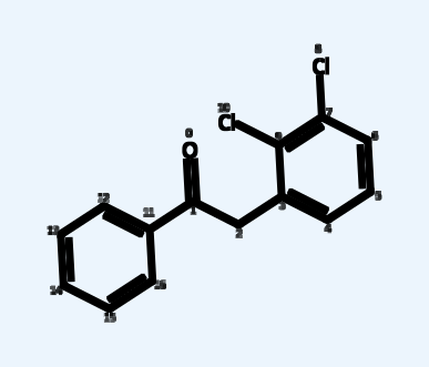 O=C(Cc1cccc(Cl)c1Cl)c1ccccc1